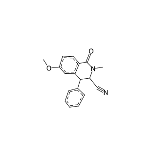 COc1ccc2c(c1)C(c1ccccc1)C(C#N)N(C)C2=O